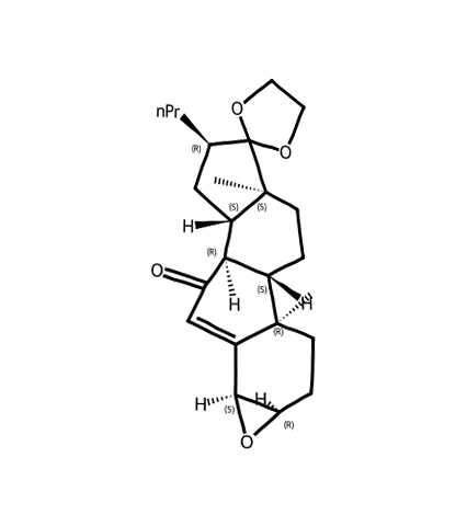 CCC[C@@H]1C[C@H]2[C@@H]3C(=O)C=C4[C@@H]5O[C@@H]5CC[C@]4(C)[C@H]3CC[C@]2(C)C12OCCO2